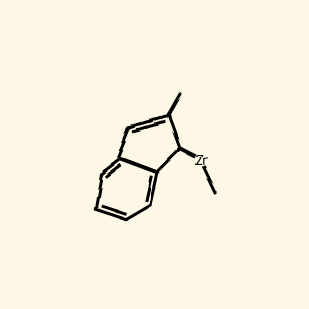 [CH3][Zr][CH]1C(C)=Cc2ccccc21